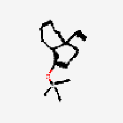 C=CC12CCCCC1=C(O[Si](C)(C)C)CC2